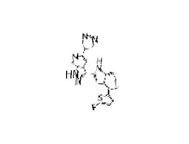 Fc1ccc(-c2cccc3[nH]c(-c4n[nH]c5cnc(-c6cncnc6)cc45)cc23)s1